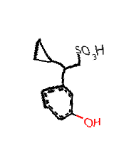 O=S(=O)(O)CC(c1cccc(O)c1)C1CC1